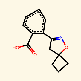 O=C(O)c1ccccc1C1=NOC2(CCC2)C1